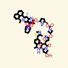 CCc1cccc2cccc(-c3ncc4c(N5CC6CCC(C5)N6C(=O)OC(C)(C)C)nc(OC[C@@H]5CC[C@@H](COC(=O)N6CC(Oc7cc(C(C(=O)N8C[C@H](O)C[C@H]8C(=O)NC(C)c8ccc(-c9scnc9C)cc8)C(C)C)on7)C6)N5C)nc4c3F)c12